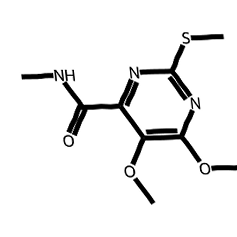 CNC(=O)c1nc(SC)nc(OC)c1OC